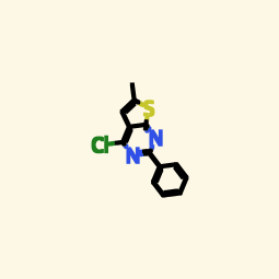 Cc1cc2c(Cl)nc(-c3ccccc3)nc2s1